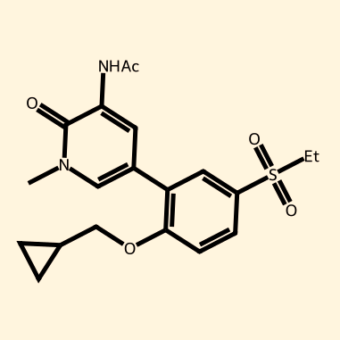 CCS(=O)(=O)c1ccc(OCC2CC2)c(-c2cc(NC(C)=O)c(=O)n(C)c2)c1